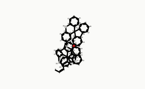 C/C=C\C1=C(C)C2(c3ccccc3-c3ccccc32)c2c(cccc2N(c2ccc3c(c2)C2(c4ccccc4O3)c3ccccc3-c3ccccc32)c2cccc3oc4ccccc4c23)S1